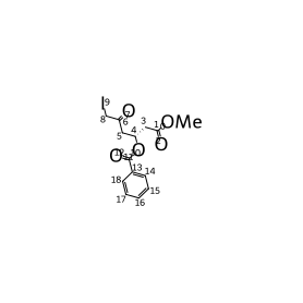 COC(=O)C[C@@H](CC(=O)CI)OC(=O)c1ccccc1